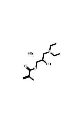 Br.C=C(C)C(=O)OCC(O)CN(CC)CC